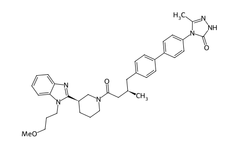 COCCCn1c([C@@H]2CCCN(C(=O)C[C@H](C)Cc3ccc(-c4ccc(-n5c(C)n[nH]c5=O)cc4)cc3)C2)nc2ccccc21